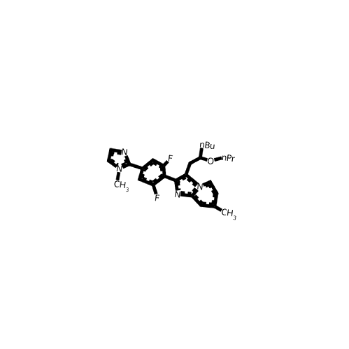 CCCCC(Cc1c(-c2c(F)cc(-c3nccn3C)cc2F)nc2cc(C)ccn12)OCCC